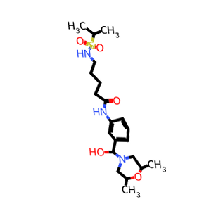 CC1CN(C(O)c2cccc(NC(=O)CCCCNS(=O)(=O)C(C)C)c2)CC(C)O1